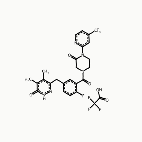 Cc1c(Cc2ccc(F)c(C(=O)N3CCN(c4cc(C(F)(F)F)ccn4)C(=O)C3)c2)n[nH]c(=O)c1C.O=C(O)C(F)(F)F